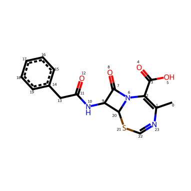 CC1=C(C(=O)O)N2C(=O)C(NC(=O)Cc3ccccc3)C2SC=N1